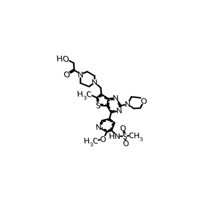 COc1ncc(-c2nc(N3CCOCC3)nc3c(CN4CCN(C(=O)CO)CC4)c(C)sc23)cc1NS(C)(=O)=O